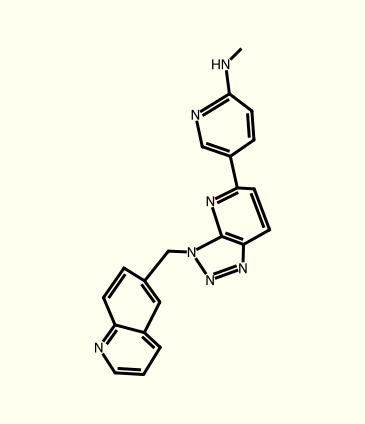 CNc1ccc(-c2ccc3nnn(Cc4ccc5ncccc5c4)c3n2)cn1